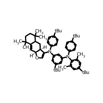 Cc1cc(C(C)(C)C)cc(C)c1N(c1ccc(C(C)(C)C)cc1)c1cc(N(C2=CO[C@H]3C=C4C(C[C@@H]23)C(C)(C)CCC4(C)C)c2ccc(C(C)(C)C)cc2)cc(C(C)(C)C)c1